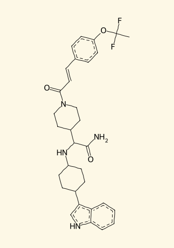 CC(F)(F)Oc1ccc(/C=C/C(=O)N2CCC(C(NC3CCC(c4c[nH]c5ccccc45)CC3)C(N)=O)CC2)cc1